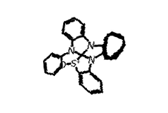 [O-][S+]1c2ccccc2N(c2ccccc2)C12N(C1=CC=CCC1)c1ccccc1N2c1ccccc1